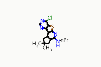 CCCNc1nc2sc3c(Cl)ncnc3c2c2c1CC(C)(C)C2